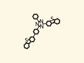 c1ccc(-c2nc(-c3ccc(-c4ccc5c(c4)sc4ccccc45)cc3)nc(-c3ccc4c(c3)sc3ccccc34)n2)cc1